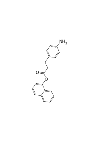 Nc1ccc(CCC(=O)Oc2cccc3ccccc23)cc1